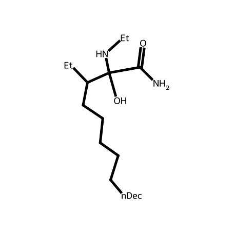 CCCCCCCCCCCCCCCC(CC)C(O)(NCC)C(N)=O